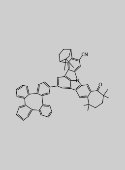 CC1(C)CCC(C)(C)c2cc3c4cc(-c5ccc6c(c5)-c5ccccc5-c5ccccc5-c5ccccc5-6)cc5c6c7c(c(C#N)cc6n(c3cc2C1=O)c45)C1CCC7C(C)(C)C1